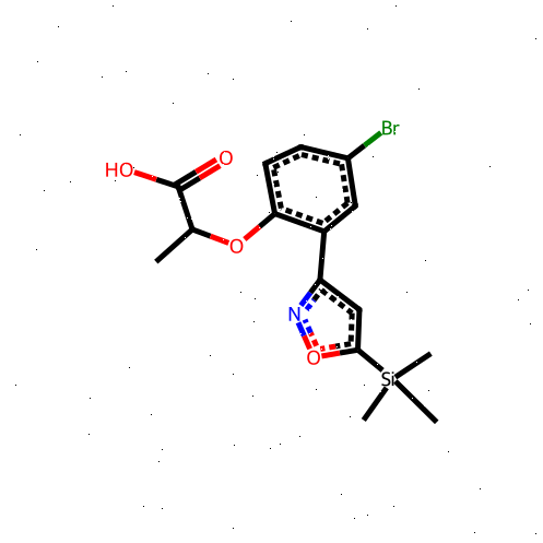 CC(Oc1ccc(Br)cc1-c1cc([Si](C)(C)C)on1)C(=O)O